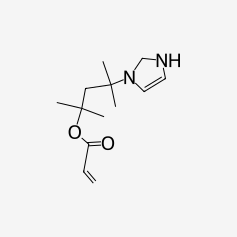 C=CC(=O)OC(C)(C)CC(C)(C)N1C=CNC1